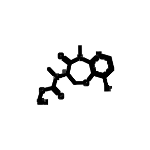 CN1C(=O)[C@H](N(C)C(=O)OC(C)(C)C)COc2c(Br)ccnc21